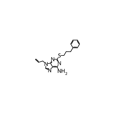 C=CCn1cnc2c(N)nc(SCCCc3ccccc3)nc21